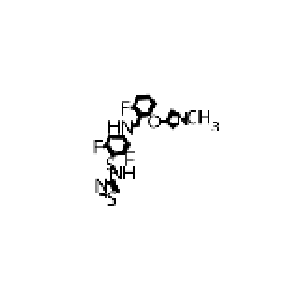 CN1CC(Oc2cccc(F)c2CNc2cc(F)c(SNc3cscn3)c(F)c2)C1